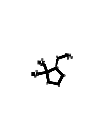 CC1(C)CCC[C@H]1CN